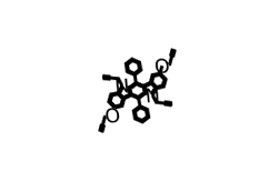 C#CCOc1ccc2c(c1)c1c(-c3ccccc3)c3c(c(-c4ccccc4)c1n2CC#C)c1cc(OCC#C)ccc1n3CC#C